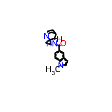 Cn1ccc2cc(C(=O)N[C@H]3C4CCN(CC4)C34CC4)ccc21